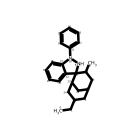 CCC1CC2CC(C)C3(NN(c4ccccc4)c4ccccc43)C(C1)C2